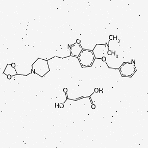 CN(C)Cc1c(OCc2cccnc2)ccc2c(CCC3CCN(CC4OCCO4)CC3)noc12.O=C(O)C=CC(=O)O